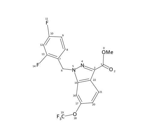 COC(=O)c1nn(Cc2ccc(F)cc2F)c2cc(OC(F)(F)F)ccc12